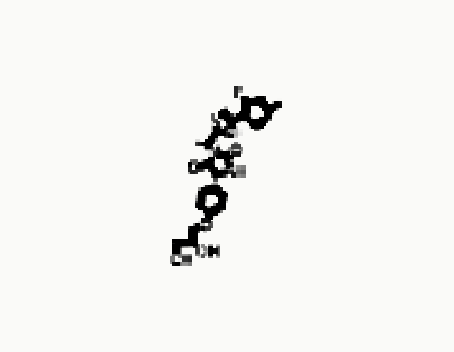 C[C@@H](c1ncc(-c2ccc(I)cc2F)[nH]1)N1C(=O)N[C@H](c2ccc(OC[C@@H](O)CO)cc2)C1=O